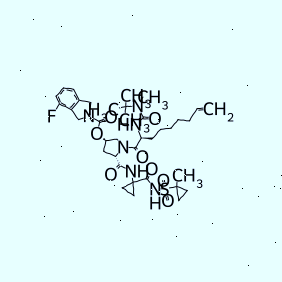 C=CCCCCC[C@H](NC(=O)N(C)C(C)(C)C)C(=O)N1C[C@H](OC(=O)N2Cc3cccc(F)c3C2)C[C@H]1C(=O)NC1(C(=O)NS(=O)(=O)C2(C)CC2)CC1